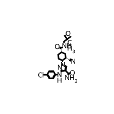 CC1(CNC(=O)[C@H]2CC[C@H](n3cc(C(N)=O)c(Nc4ccc(Cl)cc4)n3)[C@@H](C#N)C2)COC1